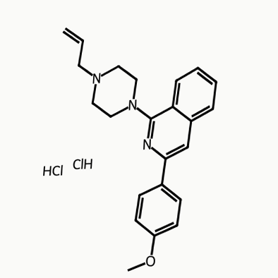 C=CCN1CCN(c2nc(-c3ccc(OC)cc3)cc3ccccc23)CC1.Cl.Cl